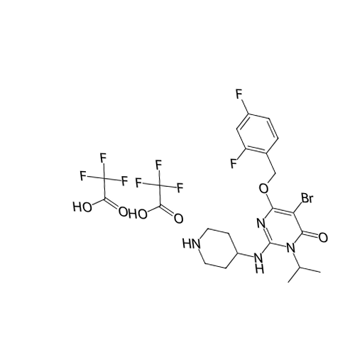 CC(C)n1c(NC2CCNCC2)nc(OCc2ccc(F)cc2F)c(Br)c1=O.O=C(O)C(F)(F)F.O=C(O)C(F)(F)F